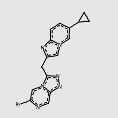 Brc1cn2c(Cc3cn4cc(C5CC5)ccc4n3)nnc2cn1